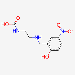 O=C(O)NCCNCc1cc([N+](=O)[O-])ccc1O